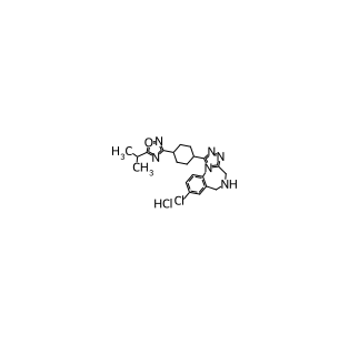 CC(C)c1nc(C2CCC(c3nnc4n3-c3ccc(Cl)cc3CNC4)CC2)no1.Cl